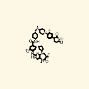 COc1cc(C(=O)N[C@H]2CC[C@H](CN(C)C3CCN(c4ccc(C5CCC(=O)NC5=O)cc4F)CC3)CC2)ccc1Nc1ncc2c(n1)N(C1CCCC1)CC(F)(F)C(=O)N2C